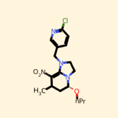 CCCO[C@@H]1CC(C)C([N+](=O)[O-])=C2N(Cc3ccc(Cl)nc3)CCN21